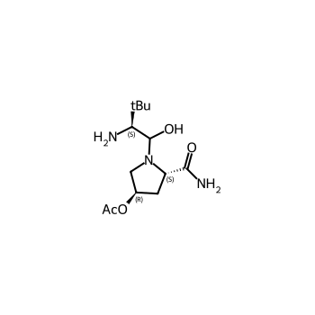 CC(=O)O[C@@H]1C[C@@H](C(N)=O)N(C(O)[C@@H](N)C(C)(C)C)C1